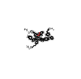 CCCCc1ccc(N2B3c4oc5ccc(-c6ccccc6)cc5c4N(c4ccc(CCCC)cc4-c4ccccc4)c4cc5c(oc6ccccc65)c(c43)-c3cc4c(cc32)oc2ccc(N(c3ccccc3)c3ccc(CCCC)cc3)cc24)cc1